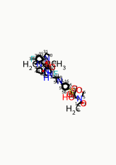 C=CC(=O)N1CCOC[C@@](O)(S(=O)(=O)c2ccc(N3CC(F)(CN4CCC(C(CN5CCC5)(c5cccc(F)c5)[C@@]5(N=C)CCC[C@@H]5NC(=O)OC)CC4)C3)cc2)C1